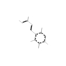 CC=C(C)/C=C/c1c(C)cc(O)c(C)c1C